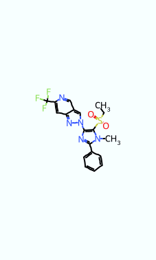 CCS(=O)(=O)c1c(-n2cc3cnc(C(F)(F)F)cc3n2)nc(-c2ccccc2)n1C